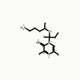 CCC(C)(OC(C)CCCN)n1cc(C)nc(C)c1=N